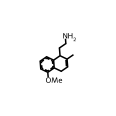 COc1cccc2c1CC=C(C)C2CCN